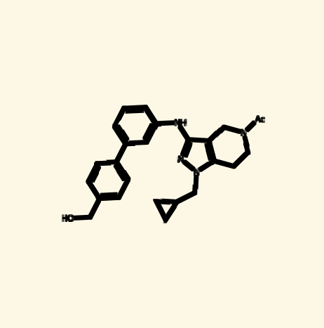 CC(=O)N1CCc2c(c(Nc3cccc(-c4ccc(CO)cc4)c3)nn2CC2CC2)C1